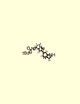 CC(C)(C)OC(=O)N1CC2(CCn3nc(-c4cnc5cc[nH]c5c4)cc32)C1